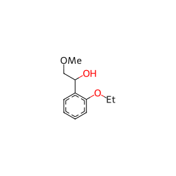 CCOc1ccccc1C(O)COC